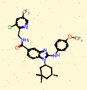 C[C@@H]1C[C@H](n2c(Nc3ccc(OC(F)(F)F)cc3)nc3cc(C(=O)NCc4ncc(C(F)(F)F)cc4Cl)ccc32)CC(C)(C)C1